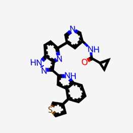 O=C(Nc1cncc(-c2ccc3[nH]nc(-c4cc5c(-c6ccsc6)cccc5[nH]4)c3n2)c1)C1CC1